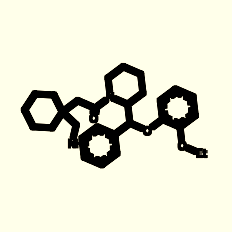 CCOc1ccccc1OC(c1ccccc1)C1CCCCN1C(=O)CC1(CN)CCCCC1